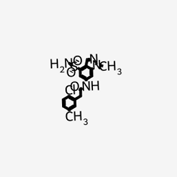 Cc1ccc(Cl)c(CC(=O)Nc2cc(S(N)(=O)=O)c3cnn(C)c3c2)c1